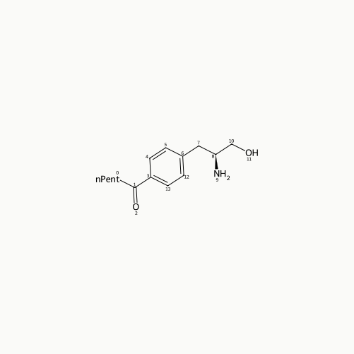 CCCCCC(=O)c1ccc(C[C@H](N)CO)cc1